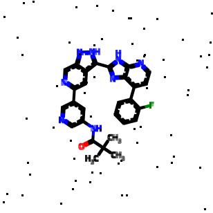 CC(C)(C)C(=O)Nc1cncc(-c2cc3c(-c4nc5c(-c6ccccc6F)ccnc5[nH]4)[nH]nc3cn2)c1